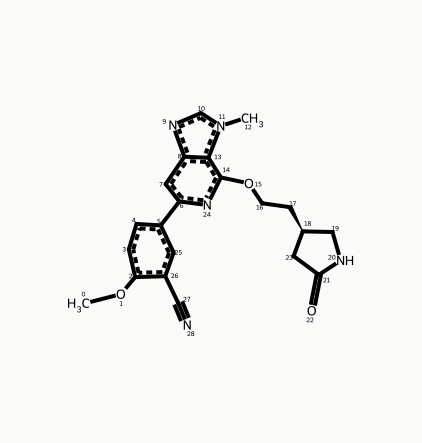 COc1ccc(-c2cc3ncn(C)c3c(OCC[C@H]3CNC(=O)C3)n2)cc1C#N